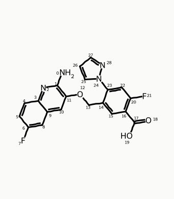 Nc1nc2ccc(F)cc2cc1OCc1cc(C(=O)O)c(F)cc1-n1cccn1